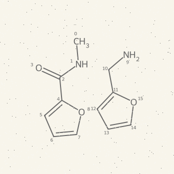 CNC(=O)c1ccco1.NCc1ccco1